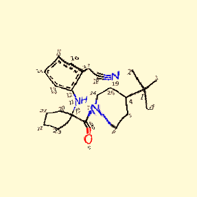 CC(C)(C)C1CCN(C(=O)C2(Nc3ccccc3C#N)CCCC2)CC1